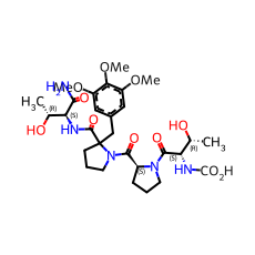 COc1cc(CC2(C(=O)N[C@H](C(N)=O)[C@@H](C)O)CCCN2C(=O)[C@@H]2CCCN2C(=O)[C@@H](NC(=O)O)[C@@H](C)O)cc(OC)c1OC